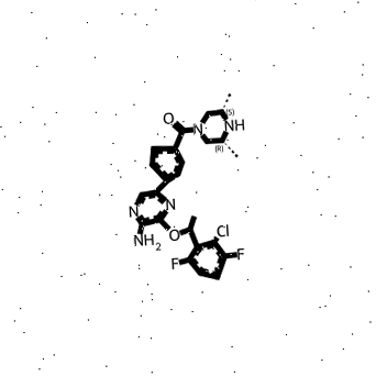 CC(Oc1nc(-c2ccc(C(=O)N3C[C@@H](C)N[C@@H](C)C3)cc2)cnc1N)c1c(F)ccc(F)c1Cl